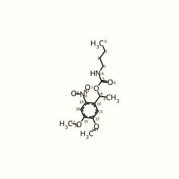 CCCCNC(=O)OC(C)c1cc(OC)c(OC)cc1[N+](=O)[O-]